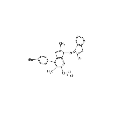 CC1=Cc2c(cc(C)c(C)c2-c2ccc(C(C)(C)C)cc2)[CH]1[Zr+2][CH]1C(C(C)C)=Cc2ccccc21.[Cl-].[Cl-]